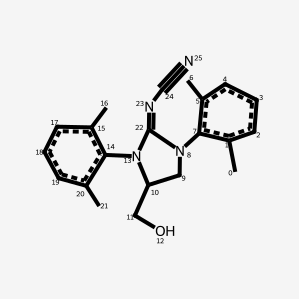 Cc1cccc(C)c1N1CC(CO)N(c2c(C)cccc2C)C1=NC#N